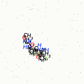 COc1cnc(C(=O)Nc2ccc(F)c([C@]3(C)C[S+]([O-])[C@](C)(c4cccc(F)c4)C(=N)N3)c2)cn1